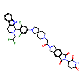 C[C@@H]1Cc2c([nH]c3ccccc23)[C@@H](c2c(F)cc(N3CCC4(CCN(CC(=O)N5Cc6cc7c(cc6C5)C(=O)N(C5CCC(=O)NC5=O)C7=O)CC4)C3)cc2F)N1CC(F)F